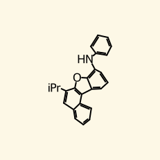 CC(C)c1cc2ccccc2c2c1oc1c(Nc3ccccc3)cccc12